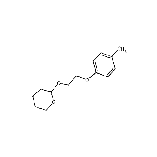 Cc1ccc(OCCOC2CCCCO2)cc1